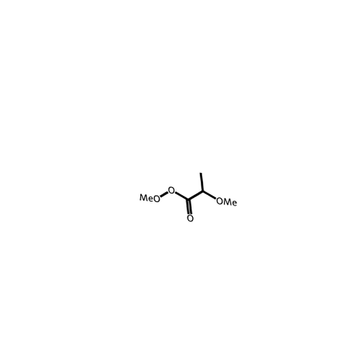 COOC(=O)C(C)OC